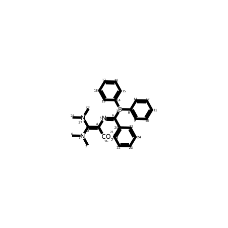 CN(C)C(=C(/N=C(/B(c1ccccc1)c1ccccc1)c1ccccc1)C(=O)O)N(C)C